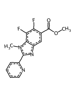 COC(=O)c1cc2nc(-c3ccccn3)n(C)c2c(F)c1F